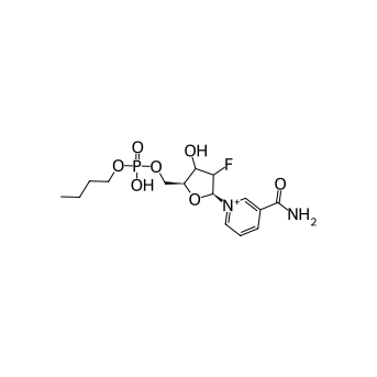 CCCCOP(=O)(O)OC[C@@H]1O[C@H]([n+]2cccc(C(N)=O)c2)C(F)C1O